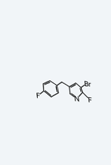 Fc1ccc(Cc2cnc(F)c(Br)c2)cc1